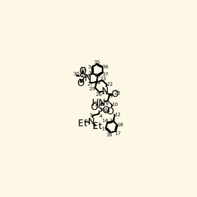 CCN(CC)CCS(=O)(=O)N[C@H](COCc1ccccc1)C(=O)N1CCC2(CC1)CN(S(C)(=O)=O)c1ccccc12